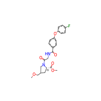 COCC1C[C@@H](C(=O)OC)N(C(=O)CNC(=O)c2ccc(Oc3ccc(F)cc3)cc2)C1